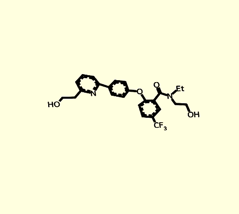 CCN(CCO)C(=O)c1cc(C(F)(F)F)ccc1Oc1ccc(-c2cccc(CCO)n2)cc1